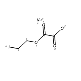 O=C([O-])C(=O)OCCI.[Na+]